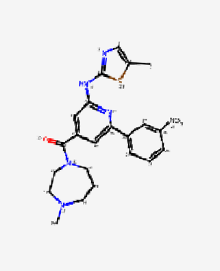 Cc1cnc(Nc2cc(C(=O)N3CCCN(C)CC3)cc(-c3cccc([N+](=O)[O-])c3)n2)s1